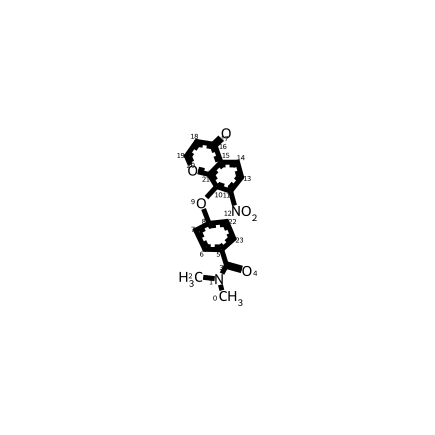 CN(C)C(=O)c1ccc(Oc2c([N+](=O)[O-])ccc3c(=O)ccoc23)cc1